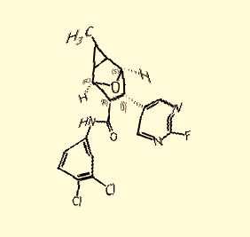 CC1C2C1[C@@H]1O[C@H]2[C@H](C(=O)Nc2ccc(Cl)c(Cl)c2)[C@H]1c1cnc(F)nc1